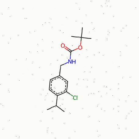 CC(C)c1ccc(CNC(=O)OC(C)(C)C)cc1Cl